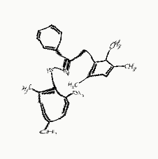 CC1=CC(C)=C(CC(=NNc2c(C)cc(C)cc2C)c2ccccc2)C1C